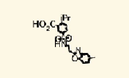 Cc1ccc2oc(CCNS(=O)(=O)c3ccc(C(C)C)c(C(=O)O)c3)nc2c1